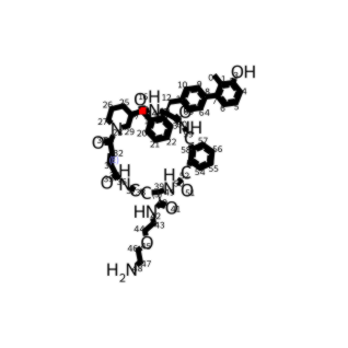 Cc1c(O)cccc1-c1ccc(C[C@@H]2NC(=O)[C@]3(Cc4ccccc4)CCCN(C3)C(=O)/C=C/C(=O)NCC[C@@H](C(=O)NCCOCCN)NC(=O)Cc3ccccc3CNC2=O)cc1